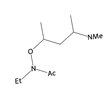 CCN(OC(C)CC(C)NC)C(C)=O